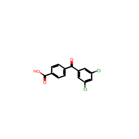 O=C(O)c1ccc(C(=O)c2cc(Cl)cc(Cl)c2)cc1